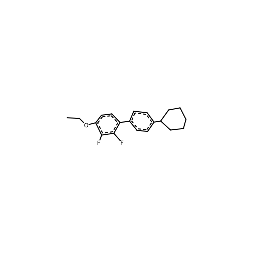 CCOc1ccc(-c2ccc(C3CCCCC3)cc2)c(F)c1F